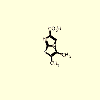 Cc1sc2nc(C(=O)O)cn2c1C